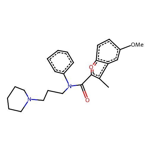 COc1ccc2oc(C(=O)N(CCCN3CCCCC3)c3ccccc3)c(C)c2c1